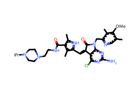 COc1c(C)cnc(CN2C(=O)/C(=C\c3[nH]c(C)c(C(=O)NCCN4CCN(C(C)C)CC4)c3C)c3c(Cl)nc(N)nc32)c1C